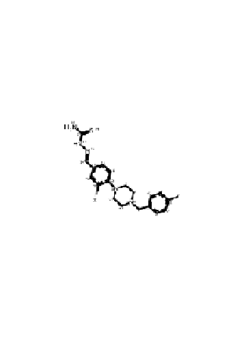 Cc1ccc(CN2CCN(c3ccc(C=NNC(N)=S)cc3F)CC2)cc1